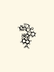 CCOC(=O)O[C@@H]1CCCCN1C(=O)[C@H](CCCNc1ncc[nH]1)NS(=O)(=O)c1cccc2c(N(C)C)cccc12